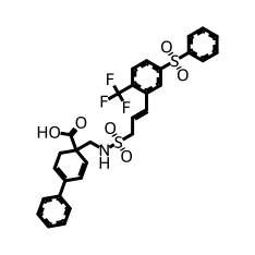 O=C(O)C1(CNS(=O)(=O)CC=Cc2cc(S(=O)(=O)c3ccccc3)ccc2C(F)(F)F)C=CC(c2ccccc2)=CC1